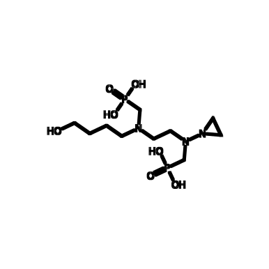 O=P(O)(O)CN(CCCCO)CCN(CP(=O)(O)O)N1CC1